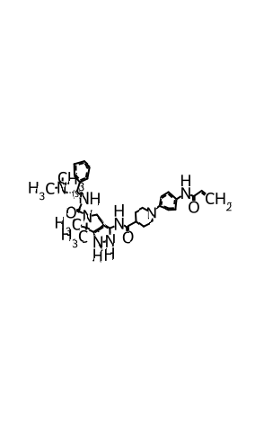 C=CC(=O)Nc1ccc(N2CCC(C(=O)NC3NNC4=C3CN(C(=O)N[C@H](CN(C)C)c3ccccc3)C4(C)C)CC2)cc1